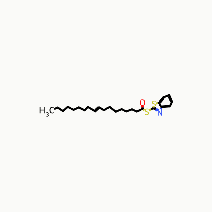 CCCCCCCCC=CCCCCCCCC(=O)Sc1nc2ccccc2s1